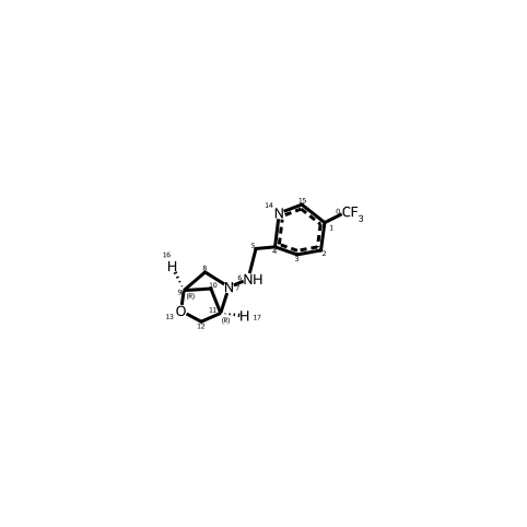 FC(F)(F)c1ccc(CNN2C[C@H]3C[C@@H]2CO3)nc1